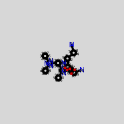 N#Cc1cccc(-c2ccc3c(c2)c2cc(-c4cccc(C#N)c4)ccc2n3-c2ccc(-c3nc(-c4ccccc4)nc(-c4ccccc4)n3)cc2-c2cc(-c3ccccc3)nc(-c3ccccc3)n2)c1